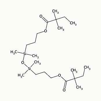 CCC(C)(C)C(=O)OCCC[Si](C)(C)O[Si](C)(C)CCCOC(=O)C(C)(C)CC